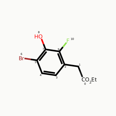 CCOC(=O)Cc1ccc(Br)c(O)c1F